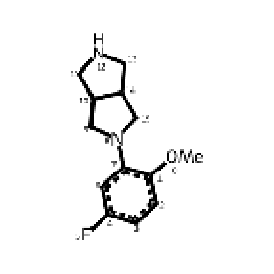 COc1ccc(F)cc1N1CC2CNCC2C1